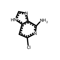 Nc1nc(Cl)cc2[nH]cnc12